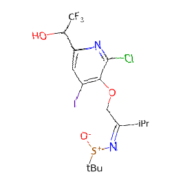 CC(C)/C(COc1c(I)cc(C(O)C(F)(F)F)nc1Cl)=N/[S+]([O-])C(C)(C)C